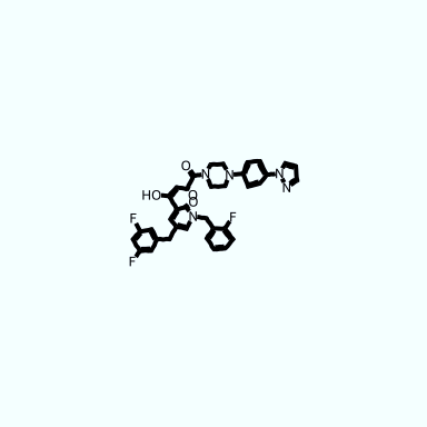 O=C(/C=C(/O)c1cc(Cc2cc(F)cc(F)c2)cn(Cc2ccccc2F)c1=O)C(=O)N1CCN(c2ccc(-n3cccn3)cc2)CC1